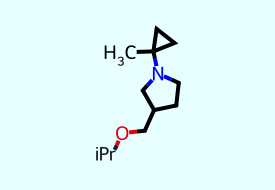 CC(C)OCC1CCN(C2(C)CC2)C1